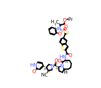 CC(C)OC(=O)[C@H](C)NP(=O)(Oc1ccccc1)C(F)c1ccc2sc(C(=O)N[C@H]3CCCC[C@H]4CC[C@@H](C(=O)N5C[C@@H](C#N)[C@H](c6cc[nH]c(=O)c6)C5)N4C3=O)cc2c1